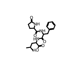 CC(C)CC(NC(=O)C(Cc1ccccc1)NC(=O)C1CCC(=O)N1)C(=O)O